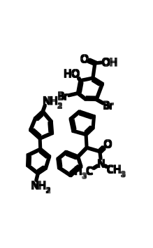 CN(C)C(=O)C(c1ccccc1)c1ccccc1.Nc1ccc(-c2ccc(N)cc2)cc1.O=C(O)c1cc(Br)cc(Br)c1O